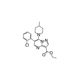 CCOC(=O)c1cnn2c(N3CCC(C)CC3)c(-c3ccccc3Cl)cnc12